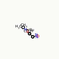 CC1(C)CCC(N(CC(Oc2ccc(-c3cccc(-c4ncon4)c3)cc2)C(C)(C)C)C(=O)O)CC1